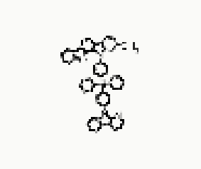 CC1C=Cc2c(n(-c3ccc([Si](c4ccccc4)(c4ccccc4)c4ccc(-n5c6ccccc6c6cccnc65)cc4)cc3)c3c2ccc2c4ccccc4oc23)C1